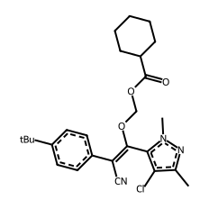 Cc1nn(C)c(/C(OCOC(=O)C2CCCCC2)=C(\C#N)c2ccc(C(C)(C)C)cc2)c1Cl